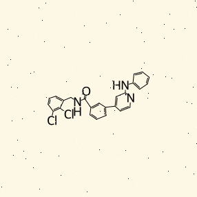 O=C(NCc1cccc(Cl)c1Cl)c1cccc(-c2ccnc(Nc3ccccc3)c2)c1